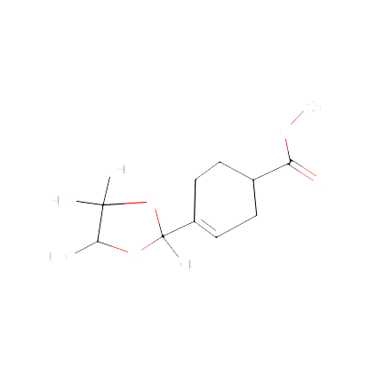 CC1OC(C)(C2=CCC(C(=O)OC(C)(C)C)CC2)OC1(C)C